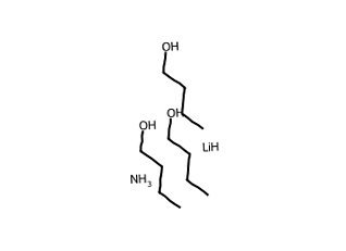 CCCCO.CCCCO.CCCCO.N.[LiH]